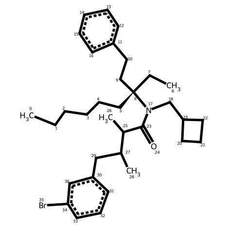 CCCCCC[C@](CC)(CCc1ccccc1)N(CC1CCC1)C(=O)C(C)C(C)Cc1cccc(Br)c1